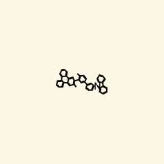 Cc1ccc(-c2cccc(-n3c4ccccc4c4ccccc43)c2)cc1-c1cc2c3ccccc3c3ccccc3c2cc1C